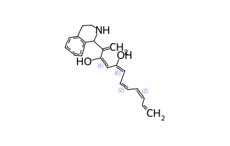 C=C\C=C/C=C\C=C(O)/C=C(/O)C(=C)C1NCCc2ccccc21